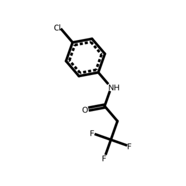 O=C(CC(F)(F)F)Nc1ccc(Cl)cc1